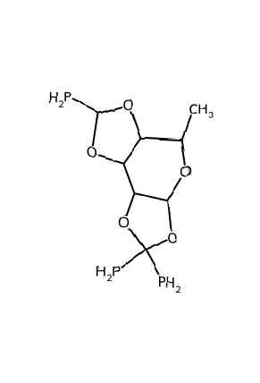 CC1OC2OC(P)(P)OC2C2OC(P)OC12